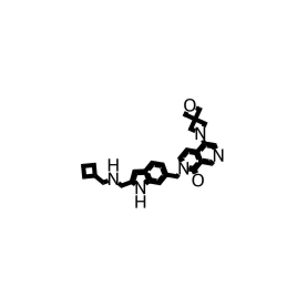 O=c1c2cncc(N3CC4(COC4)C3)c2ccn1Cc1ccc2cc(CNCC3CCC3)[nH]c2c1